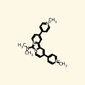 CN(C)c1n2ccc(-c3cc[n+](C)cc3)cc2c2cc(-c3cc[n+](C)cc3)cc[n+]12